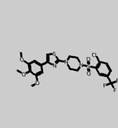 COc1cc(-c2csc(N3CCN(S(=O)(=O)c4cc(C(F)(F)F)ccc4Cl)CC3)n2)cc(OC)c1OC